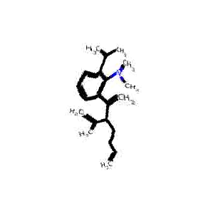 C=CCCC(C(=C)C)C(=C)c1cccc(C(C)C)c1N(C)C